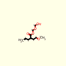 C=CCC(CCOC)C(=O)OCOCO